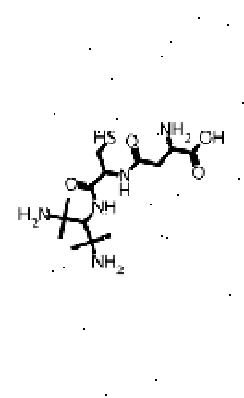 CC(C)(N)C(NC(=O)C(CS)NC(=O)CC(N)C(=O)O)C(C)(C)N